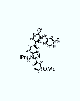 COc1cccc(-c2nc3cc(C4=NN(Cc5cccc(F)c5)C(=O)SC4)ccc3n2CC(C)C)c1